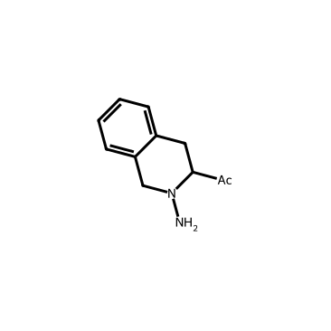 CC(=O)C1Cc2ccccc2CN1N